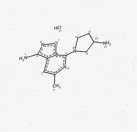 Cc1cc2c(N)noc2c(N2CCC(N)C2)n1.Cl